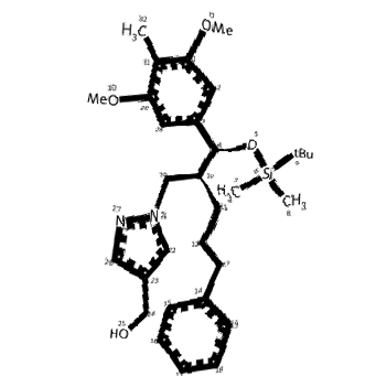 COc1cc([C@@H](O[Si](C)(C)C(C)(C)C)[C@@H](CCCc2ccccc2)Cn2cc(CO)cn2)cc(OC)c1C